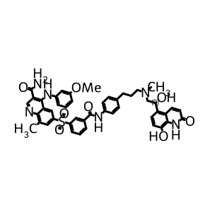 COc1cccc(Nc2c(C(N)=O)cnc3c(C)cc(S(=O)(=O)c4cccc(C(=O)Nc5ccc(CCCN(C)C[C@H](O)c6ccc(O)c7[nH]c(=O)ccc67)cc5)c4)cc23)c1